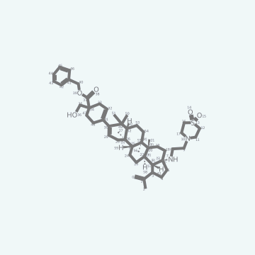 C=C(C)C1CC[C@]2(NCCN3CCS(=O)(=O)CC3)CC[C@]3(C)[C@H](CC[C@@H]4[C@@]5(C)CC=C(C6=CCC(CO)(C(=O)OCc7ccccc7)CC6)C(C)(C)[C@@H]5CC[C@]43C)[C@@H]12